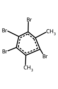 Cc1c(Br)c(C)c(Br)c(Br)c1Br